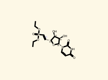 CCOP(=O)(/C=C/[C@H]1O[C@@H](n2ccc(=O)[nH]c2=O)[C@H](O)[C@@H]1O)OCC